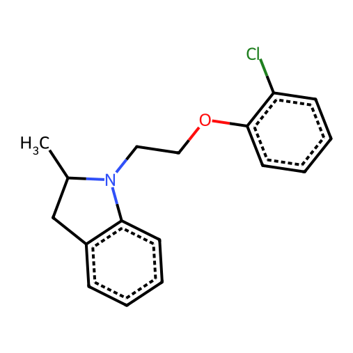 CC1Cc2ccccc2N1CCOc1ccccc1Cl